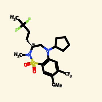 COc1cc2c(cc1C(F)(F)F)N(C1CCCC1)C[C@@H](CCC(C)(F)F)N(C)S2(=O)=O